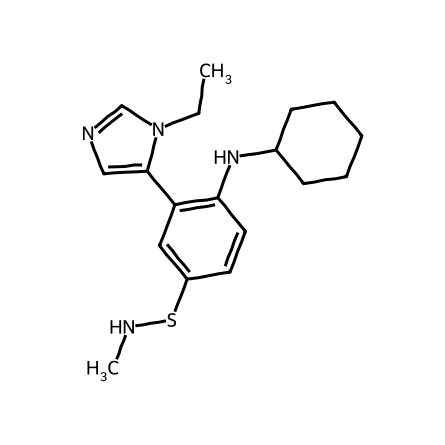 CCn1cncc1-c1cc(SNC)ccc1NC1CCCCC1